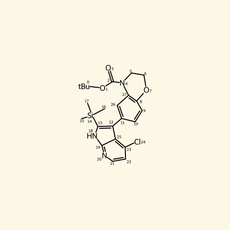 CC(C)(C)OC(=O)N1CCOc2ccc(-c3c([Si](C)(C)C)[nH]c4nccc(Cl)c34)cc21